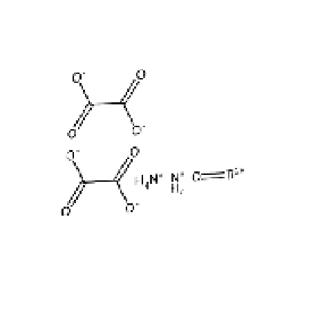 O=C([O-])C(=O)[O-].O=C([O-])C(=O)[O-].[NH4+].[NH4+].[O]=[Ti+2]